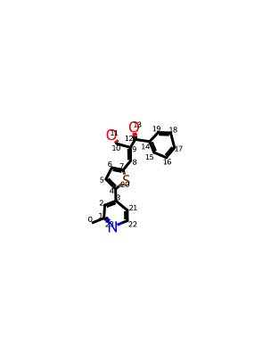 Cc1cc(-c2ccc(/C=C(\C=O)C(=O)c3ccccc3)s2)ccn1